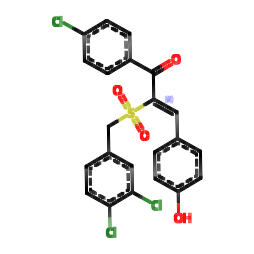 O=C(/C(=C/c1ccc(O)cc1)S(=O)(=O)Cc1ccc(Cl)c(Cl)c1)c1ccc(Cl)cc1